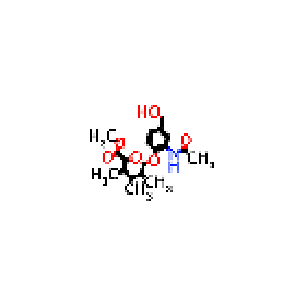 COC(=O)C1OC(Oc2ccc(CO)cc2NC(C)=O)C(C)C(C)C1C